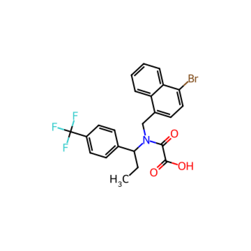 CCC(c1ccc(C(F)(F)F)cc1)N(Cc1ccc(Br)c2ccccc12)C(=O)C(=O)O